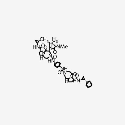 CN[C@@H](C)C(=O)N[C@H]1CN(C(=O)Nc2ccc(NC(=O)N3CCC(=O)N4[C@H](CC[C@H]4C(=O)N[C@@H]4C[C@@H]4c4ccccc4)CC3)cc2)CC[C@H]2CC[C@@H](C(=O)N[C@@H]3C[C@@H]3C)N2C1=O